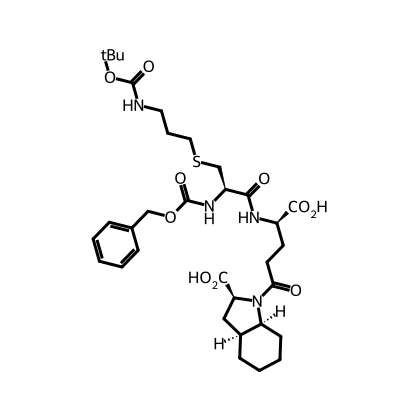 CC(C)(C)OC(=O)NCCCSC[C@H](NC(=O)OCc1ccccc1)C(=O)N[C@H](CCC(=O)N1[C@H](C(=O)O)C[C@@H]2CCCC[C@@H]21)C(=O)O